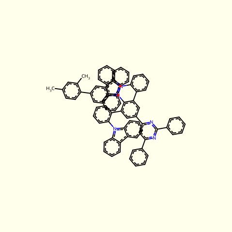 Cc1ccc(-c2ccc3c(c2)c2ccccc2n3-c2c(-c3ccccc3-n3c4ccccc4c4ccccc43)cc(-c3cc(-c4ccccc4)nc(-c4ccccc4)n3)cc2-c2ccccc2-n2c3ccccc3c3ccccc32)c(C)c1